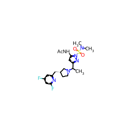 CC(=O)Nc1cc(C(C)N2CC[C@H](Cc3cc(F)cc(F)n3)C2)nn1S(=O)(=O)N(C)C